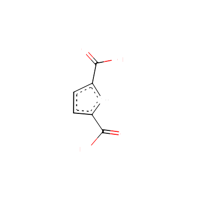 O=C(O)c1ccc(C(=O)O)[se]1